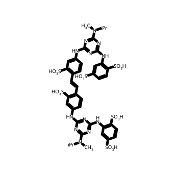 CC(C)N(C)c1nc(Nc2ccc(/C=C/c3ccc(Nc4nc(Nc5cc(S(=O)(=O)O)ccc5S(=O)(=O)O)nc(N(C)C(C)C)n4)cc3S(=O)(=O)O)c(S(=O)(=O)O)c2)nc(Nc2cc(S(=O)(=O)O)ccc2S(=O)(=O)O)n1